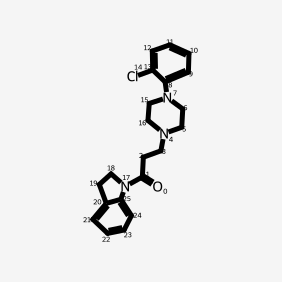 O=C(CCN1CCN(c2ccccc2Cl)CC1)N1CCc2ccccc21